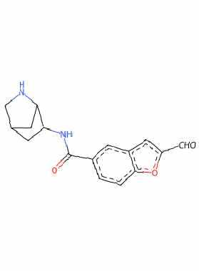 O=Cc1cc2cc(C(=O)NC3CC4CNC3C4)ccc2o1